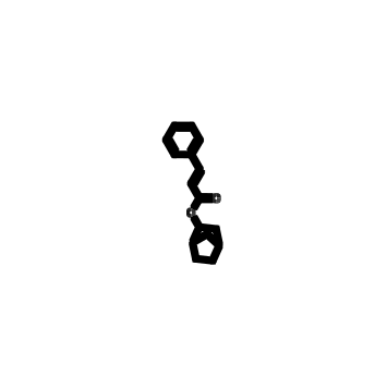 O=C(C=Cc1ccccc1)OC1CC2CCC1C2